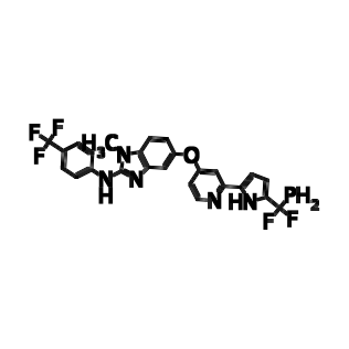 Cn1c(Nc2ccc(C(F)(F)F)cc2)nc2cc(Oc3ccnc(-c4ccc(C(F)(F)P)[nH]4)c3)ccc21